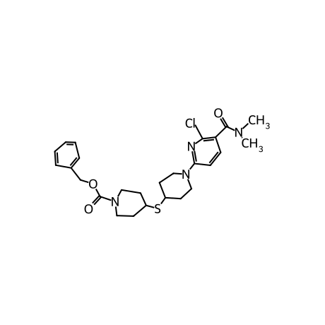 CN(C)C(=O)c1ccc(N2CCC(SC3CCN(C(=O)OCc4ccccc4)CC3)CC2)nc1Cl